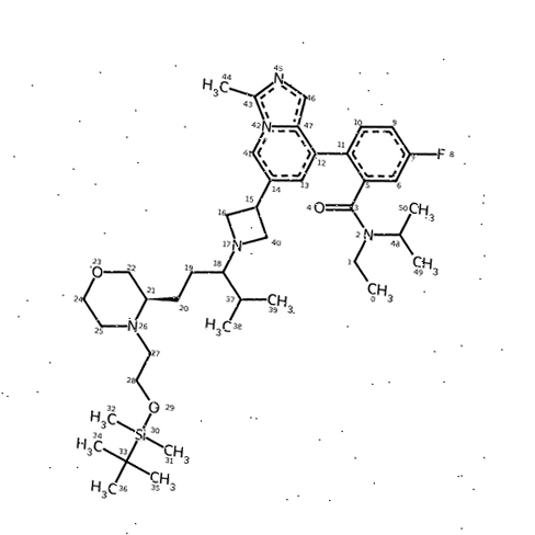 CCN(C(=O)c1cc(F)ccc1-c1cc(C2CN(C(CC[C@@H]3COCCN3CCO[Si](C)(C)C(C)(C)C)C(C)C)C2)cn2c(C)ncc12)C(C)C